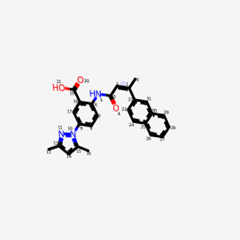 C/C(=C/C(=O)Nc1ccc(-n2nc(C)cc2C)cc1C(=O)O)c1ccc2ccccc2c1